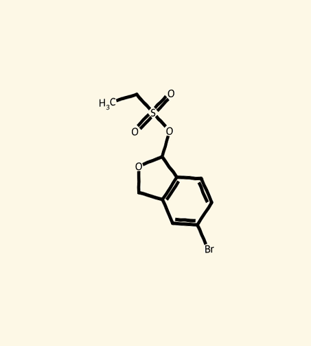 CCS(=O)(=O)OC1OCc2cc(Br)ccc21